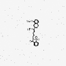 CCCN(CCCCN1C(=O)c2ccccc2S1(=O)=O)C1CCc2cccc(OC)c2C1